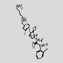 Cc1ccccc1NC(=O)Nc1nc(=O)c(-c2ccc(CNCCCN)cc2C)c[nH]1